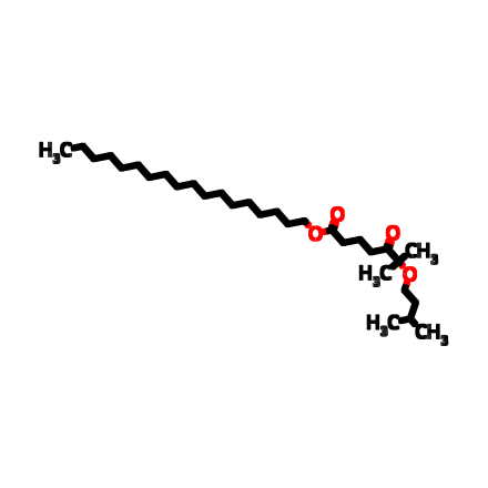 CCCCCCCCCCCCCCCCCCOC(=O)CCCC(=O)C(C)(C)OCCC(C)C